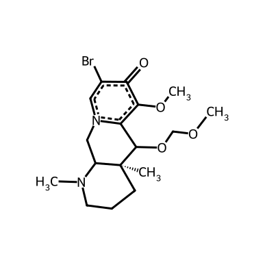 COCOC1c2c(OC)c(=O)c(Br)cn2CC2N(C)CCC[C@]12C